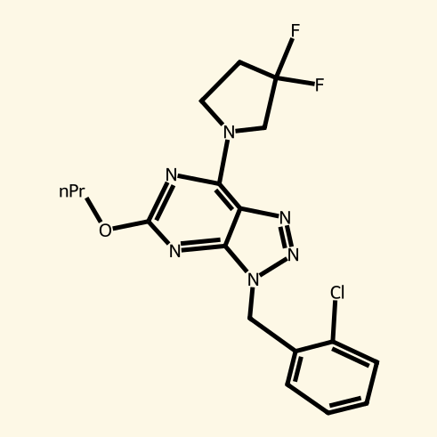 CCCOc1nc(N2CCC(F)(F)C2)c2nnn(Cc3ccccc3Cl)c2n1